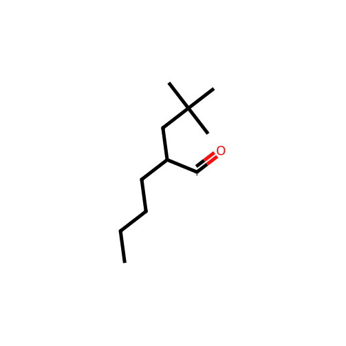 CCCCC([C]=O)CC(C)(C)C